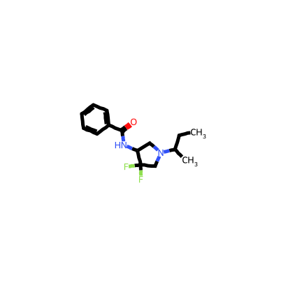 CCC(C)N1CC(NC(=O)c2ccccc2)C(F)(F)C1